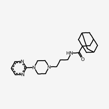 O=C(NCCCN1CCN(c2ncccn2)CC1)C12CC3CC(CC(C3)C1)C2